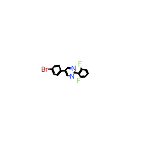 Fc1cccc(F)c1-c1ncc(-c2ccc(Br)cc2)cn1